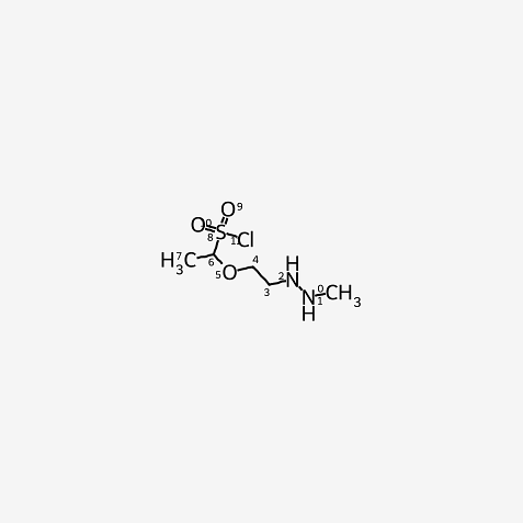 CNNCCOC(C)S(=O)(=O)Cl